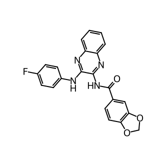 O=C(Nc1nc2ccccc2nc1Nc1ccc(F)cc1)c1ccc2c(c1)OCO2